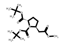 COC(=O)C[C@@H]1CC[C@@H](C(=O)OC(C)(C)C)N1C(=O)OC(C)(C)C